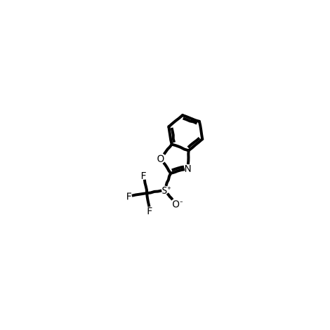 [O-][S+](c1nc2ccccc2o1)C(F)(F)F